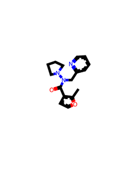 Cc1occc1C(=O)N(Cc1ccccn1)N1CCCC1